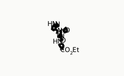 CCOC(=O)N1CCC(NC(=O)c2cn3cc(-c4cccc5[nH]ncc45)nc(N4CCOCC4)c3n2)CC1